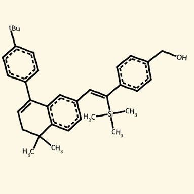 CC(C)(C)c1ccc(C2=CCC(C)(C)c3ccc(C=C(c4ccc(CO)cc4)[Si](C)(C)C)cc32)cc1